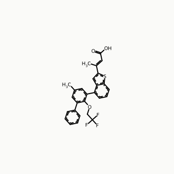 C/C(=C\C(=O)O)c1cc2c(-c3cc(C)cc(-c4ccccc4)c3OCC(F)(F)F)cccc2s1